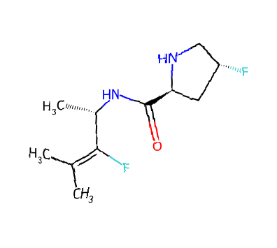 CC(C)=C(F)[C@H](C)NC(=O)[C@@H]1C[C@@H](F)CN1